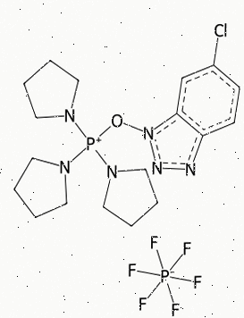 Clc1ccc2nnn(O[P+](N3CCCC3)(N3CCCC3)N3CCCC3)c2c1.F[P-](F)(F)(F)(F)F